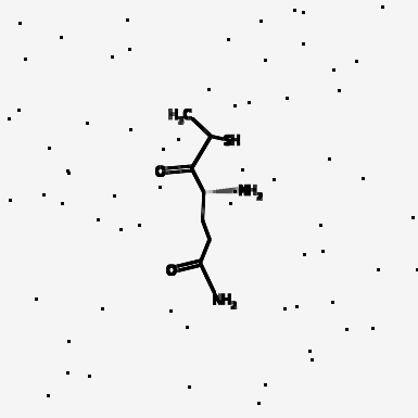 CC(S)C(=O)[C@H](N)CCC(N)=O